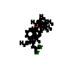 C[C@H](CC=C(Br)Br)[C@H]1CCC[C@H]2[C@@H](O[Si](C)(C)C(C)(C)C)CCC[C@@]12C